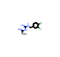 CNC(=N)NC(=N)NCc1ccc(Cl)c(Cl)c1